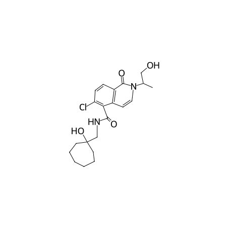 CC(CO)n1ccc2c(C(=O)NCC3(O)CCCCCC3)c(Cl)ccc2c1=O